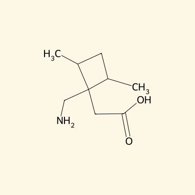 CC1CC(C)C1(CN)CC(=O)O